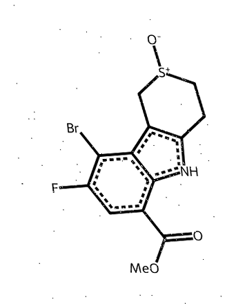 COC(=O)c1cc(F)c(Br)c2c3c([nH]c12)CC[S+]([O-])C3